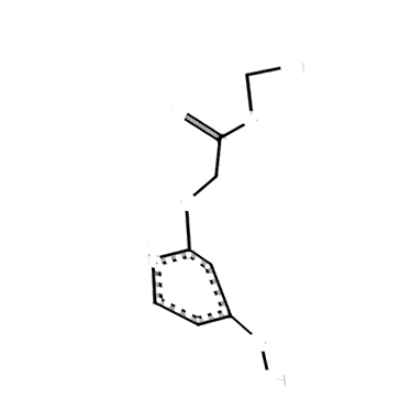 CCOC(=O)COc1cc(OC)ccn1